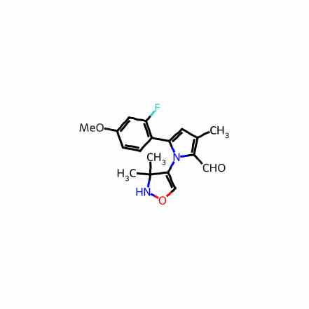 COc1ccc(-c2cc(C)c(C=O)n2C2=CONC2(C)C)c(F)c1